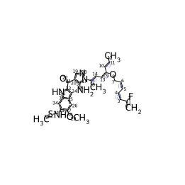 C=C(F)/C=C\C=C/COC(/C=C/C)=C/C=C(\C)n1ncc(C(=O)c2cc3cc(OC)c(NSC)cc3[nH]2)c1N